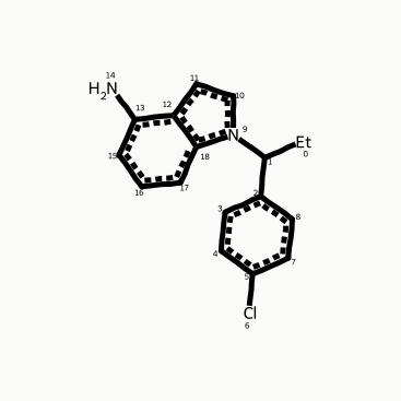 CC[C](c1ccc(Cl)cc1)n1ccc2c(N)cccc21